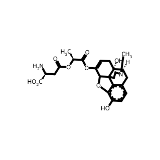 C[C@H](OC(=O)C[C@H](N)C(=O)O)C(=O)OC1=CC[C@@]2(O)[C@H]3Cc4ccc(O)c5c4C2(CCN3C)C1O5